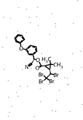 CC1(C)[C@H](C(=O)O[C@@H](C#N)c2cccc(Oc3ccccc3)c2)[C@@H]1C(Br)C(Br)(Br)Br